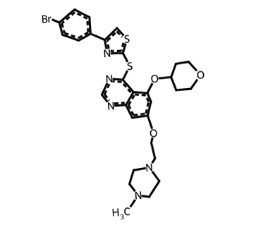 CN1CCN(CCOc2cc(OC3CCOCC3)c3c(Sc4nc(-c5ccc(Br)cc5)cs4)ncnc3c2)CC1